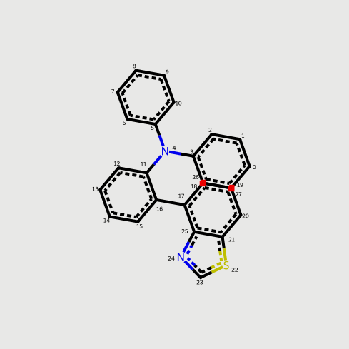 c1ccc(N(c2ccccc2)c2ccccc2-c2cccc3scnc23)cc1